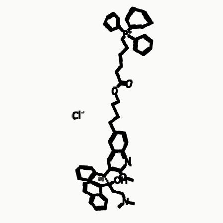 COc1nc2ccc(CCCCOC(=O)CCCCC[P+](c3ccccc3)(c3ccccc3)c3ccccc3)cc2cc1[C@@H](c1ccccc1)C(O)(CCN(C)C)c1cccc2ccccc12.[Cl-]